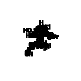 CCCS(=O)(=O)c1ccc(Nc2nc(Cl)nc(Nc3ccc(S(=O)(=O)O)c(/N=N/c4c(SOOO)cc5c(/N=N/c6ccc(S(=O)(=O)CCSOOO)cc6S(=O)(=O)O)c(NCS(=O)(=O)O)ccc5c4O)c3)n2)cc1